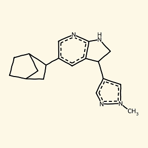 Cn1cc(C2CNc3ncc(C4CC5CCC4C5)cc32)cn1